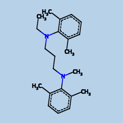 CCN(CCCN(C)c1c(C)cccc1C)c1c(C)cccc1C